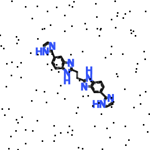 c1c[nH]c(-c2ccc3[nH]c(CCc4nc5cc(-c6ncc[nH]6)ccc5[nH]4)nc3c2)n1